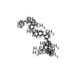 COc1cc(Nc2ncc3cc(-c4cc(C(=O)Nc5cc(C(C)(C)C)cc(NS(C)(=O)=O)c5OC)ccc4C)ccc3n2)ccc1C(=O)N(C)CCN1CCOCC1